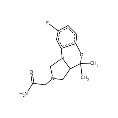 CC1(C)Oc2ccc(F)cc2N2CN(CC(N)=O)CC21